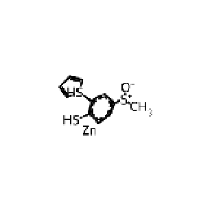 C[S+]([O-])c1ccc(S)c([SH]2C=CC=C2)c1.[Zn]